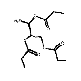 BC(OC(=O)CC)C(COC(=O)CC)OC(=O)CC